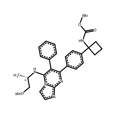 COC[C@H](C)Nc1c(-c2ccccc2)c(-c2ccc(C3(NC(=O)OC(C)(C)C)CCC3)cc2)nc2nccn12